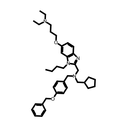 CCCCn1c(CN(Cc2ccc(OCc3ccccc3)cc2)CC2CCCC2)nc2ccc(OCCCN(CC)CC)cc21